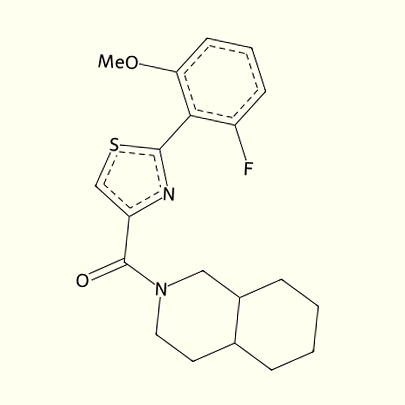 COc1cccc(F)c1-c1nc(C(=O)N2CCC3CCCCC3C2)cs1